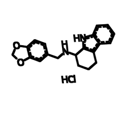 Cl.c1ccc2c3c([nH]c2c1)C(NCc1ccc2c(c1)OCO2)CCC3